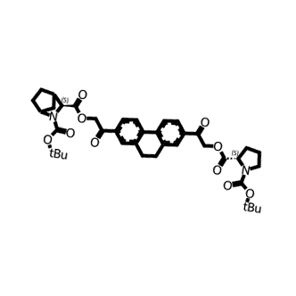 CC(C)(C)OC(=O)N1CCC[C@H]1C(=O)OCC(=O)c1ccc2c(c1)CCc1cc(C(=O)COC(=O)[C@@H]3C4CCC(C4)N3C(=O)OC(C)(C)C)ccc1-2